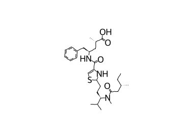 CC[C@H](C)CC(=O)N(C)[C@H](CCC1NC(C(=O)N[C@@H](Cc2ccccc2)C[C@H](C)C(=O)O)=CS1)C(C)C